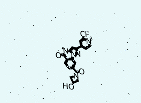 Cn1c(=O)c2ccc(C(=O)N3CC(O)C3)cc2n2nc(-c3ccnc(C(F)(F)F)c3)cc12